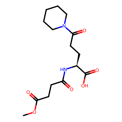 COC(=O)CCC(=O)N[C@@H](CCC(=O)N1CCCCC1)C(=O)O